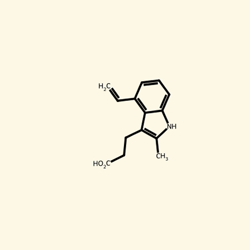 C=Cc1cccc2[nH]c(C)c(CCC(=O)O)c12